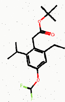 CCc1cc(OC(F)F)cc(C(C)C)c1CC(=O)OC(C)(C)C